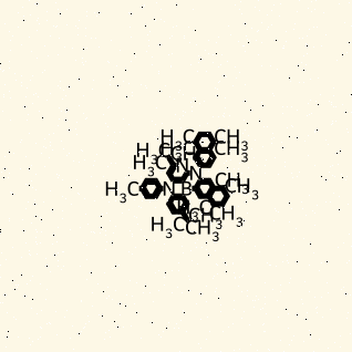 Cc1ccc(N2c3ccc(C(C)(C)C)cc3B3c4cc5c(cc4N(c4ccc6c(c4)C(C)(C)CCC6(C)C)c4nc(C(C)(C)C)cc2c43)C(C)(C)CCC5(C)C)cc1